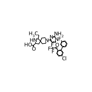 CCC1NC(C(=O)O)CC12CCN(c1cc(O[C@H](c3ccc(Cl)cc3-c3cccc(F)c3)C(F)(F)F)nc(N)n1)CC2